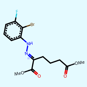 COC(=O)CCC/C(=N\Nc1cccc(F)c1Br)C(=O)OC